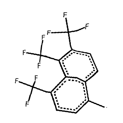 [CH2]c1ccc(C(F)(F)F)c2c(C(F)(F)F)c(C(F)(F)F)ccc12